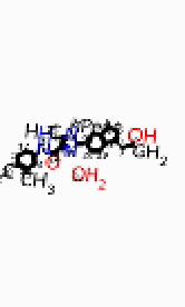 C=C(O)C[C@@H]1CCc2cc(-c3nc(C(=O)Nc4ccc(C)c(C)c4)c(C)n3CCCCC)ccc21.O